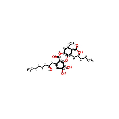 CCCCCC(=O)Cc1cc(O)c(O)c2c1C(=O)Oc1cc(C)c(C(=O)O)c(CCCCC)c1O2